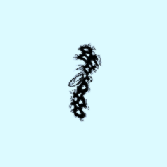 CC1(C)c2ccccc2-c2ccc3c(c21)C(C)(C)c1cc(C(=O)C(=O)c2ccc4c(c2)C(C)(C)c2c-4ccc4c2C(C)(C)c2ccccc2-4)ccc1-3